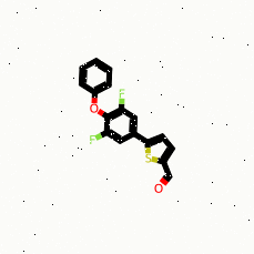 O=Cc1ccc(-c2cc(F)c(Oc3ccccc3)c(F)c2)s1